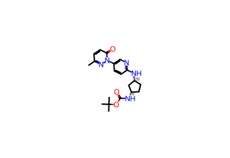 Cc1ccc(=O)n(-c2ccc(N[C@H]3CC[C@H](NC(=O)OC(C)(C)C)C3)nc2)n1